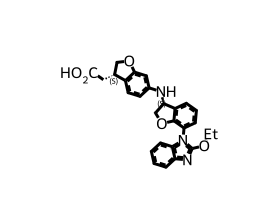 CCOc1nc2ccccc2n1-c1cccc2c1OC[C@H]2Nc1ccc2c(c1)OC[C@H]2CC(=O)O